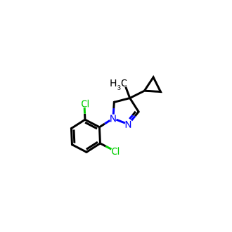 CC1(C2CC2)C=NN(c2c(Cl)cccc2Cl)C1